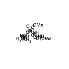 COCCNC(=O)CN(C)C(=O)NC1Cc2cc(OC)ccc2-c2c(C3CCCCC3)c3ccc(C(=O)NS(=O)(=O)N(C)C)cc3n2C1